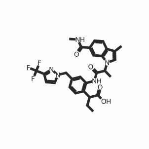 CCC(C(=O)O)c1ccc(Cn2ccc(C(F)(F)F)n2)cc1NC(=O)C(C)n1cc(C)c2ccc(C(=O)NC)cc21